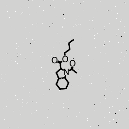 CCCCOC(=O)C1CC2CCCCC2N1C(C)=O